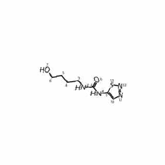 O=C(NCCCCO)Nc1cnns1